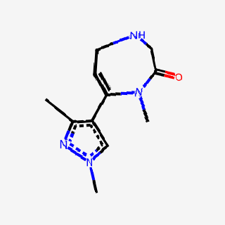 Cc1nn(C)cc1C1=CCNCC(=O)N1C